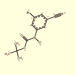 CC(C)(C)OC(=O)N(Cl)c1cc(Br)cc(C#N)c1